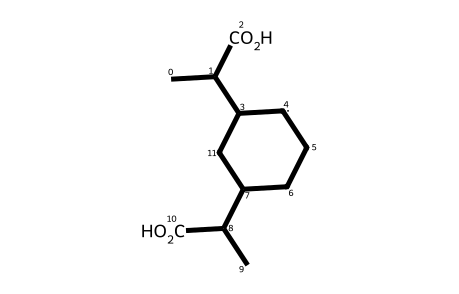 CC(C(=O)O)C1[CH]CCC(C(C)C(=O)O)C1